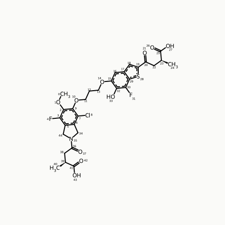 COc1c(F)c2c(c(Cl)c1OCCCOc1cc3cc(C(=O)C[C@H](C)C(=O)O)sc3c(F)c1O)CN(C(=O)C[C@H](C)C(=O)O)C2